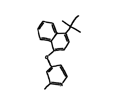 Cc1cc(Oc2ccc(C(C)(C)C)c3ccccc23)ccn1